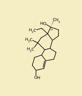 CCC12CC(C)(C)C3C4CCC(O)C=C4CCC3C1CC[C@]2(C)O